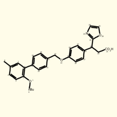 CCCCOc1ccc(C)cc1-c1ccc(COc2ccc(C(CC(=O)O)c3ncco3)cc2)cc1